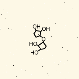 OC1CCC(OC2CCC(O)C2O)C1O